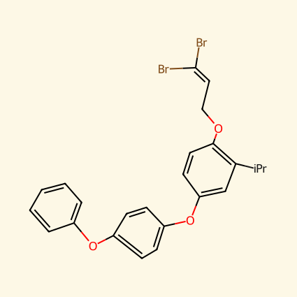 CC(C)c1cc(Oc2ccc(Oc3ccccc3)cc2)ccc1OCC=C(Br)Br